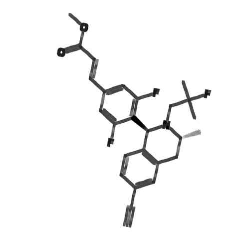 C#Cc1ccc2c(c1)C[C@@H](C)N(CC(C)(C)F)[C@@H]2c1c(F)cc(/C=C/C(=O)OC)cc1F